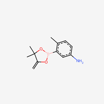 C=C1OB(c2cc(N)ccc2C)OC1(C)C